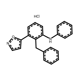 Cl.c1ccc(Cc2c(Nc3ccccc3)cccc2-c2ccno2)cc1